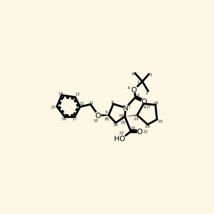 CC(C)(C)OC(=O)N1C[C@H](OCc2ccccc2)C[C@@]1(C(=O)O)C1CCCC1